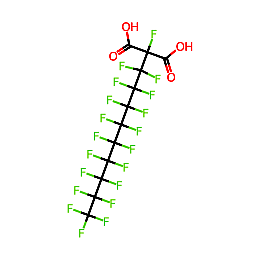 O=C(O)C(F)(C(=O)O)C(F)(F)C(F)(F)C(F)(F)C(F)(F)C(F)(F)C(F)(F)C(F)(F)C(F)(F)C(F)(F)F